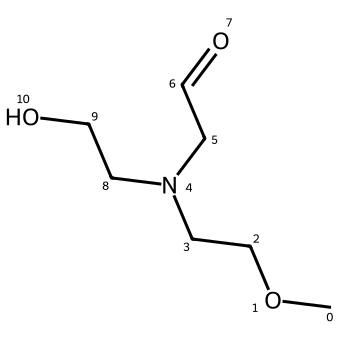 COCCN(CC=O)CCO